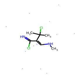 CN/C=C(/C(=N)Cl)C(C)(C)Cl